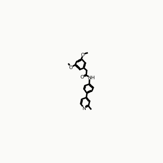 COc1cc(CC(=O)Nc2ccc(-c3ccnc(C)c3)cc2)cc(OC)c1